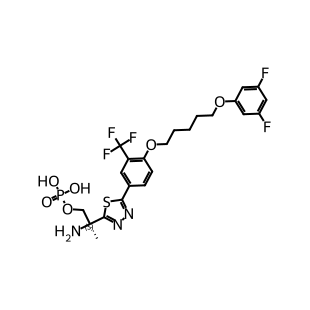 C[C@](N)(COP(=O)(O)O)c1nnc(-c2ccc(OCCCCCOc3cc(F)cc(F)c3)c(C(F)(F)F)c2)s1